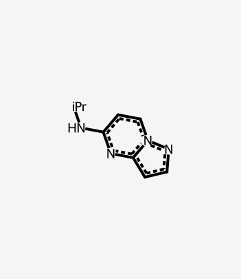 CC(C)Nc1ccn2nccc2n1